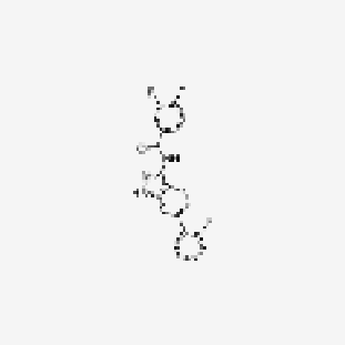 O=C(Nc1n[nH]c2cc(-c3ccccc3F)ccc12)c1ccc(F)c(F)c1